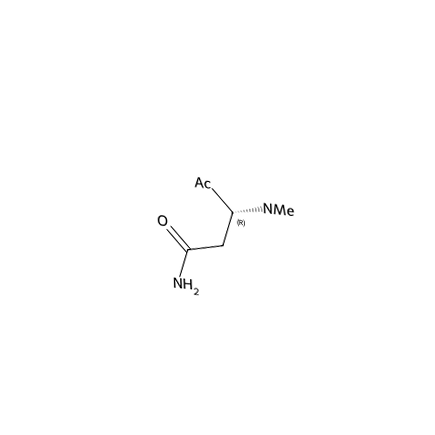 CN[C@H](CC(N)=O)C(C)=O